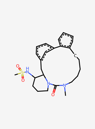 CN1CCCCCc2ccccc2-c2cccc(c2)CC2C(NS(C)(=O)=O)CCCN2C1=O